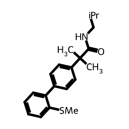 CSc1ccccc1-c1ccc(C(C)(C)C(=O)NCC(C)C)cc1